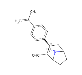 C=C(C)c1ccc([C@H]2CC3CCC(C2C=O)N3C)cc1